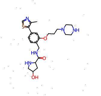 Cc1ncsc1-c1ccc(CNC(=O)C2CC(O)CN2)c(OCCCN2CCNCC2)c1